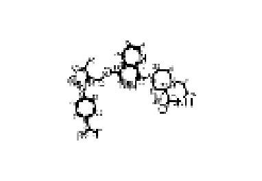 Cc1nnn(-c2ccc(C(F)F)cc2)c1COc1nnc(N2CCN3CCNC(=O)[C@@H]3C2)c2ncccc12